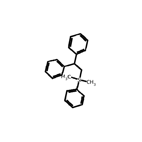 C[Si](C)(CC(c1ccccc1)c1ccccc1)c1ccccc1